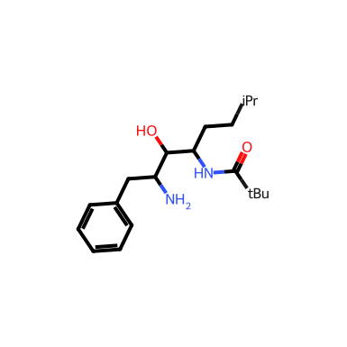 CC(C)CCC(NC(=O)C(C)(C)C)C(O)C(N)Cc1ccccc1